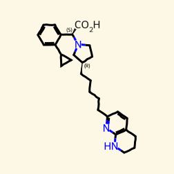 O=C(O)[C@H](c1ccccc1C1CC1)N1CC[C@@H](CCCCCc2ccc3c(n2)NCCC3)C1